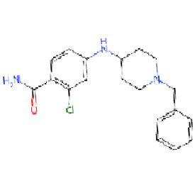 NC(=O)c1ccc(NC2CCN(Cc3ccccc3)CC2)cc1Cl